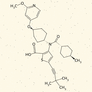 COc1cc(O[C@H]2CC[C@H](N(c3cc(C#CC(C)(C)C)sc3C(=O)O)C(=O)[C@H]3CC[C@H](C)CC3)CC2)ccn1